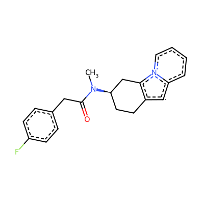 CN(C(=O)Cc1ccc(F)cc1)[C@@H]1CCc2[c]c3ccccn3c2C1